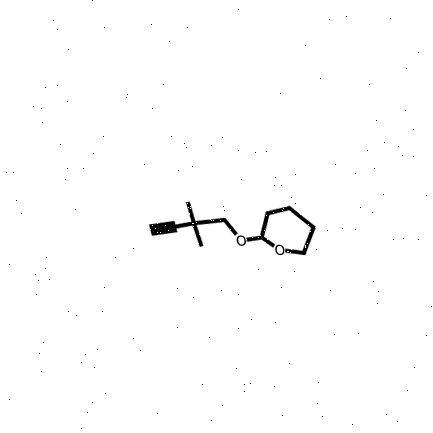 C#CC(C)(C)COC1CCCCO1